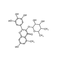 Cc1cc(O)cc2oc(-c3cc(O)c(O)c(O)c3)c(OC3OC(C)C(C)C(O)C3O)c(=O)c12